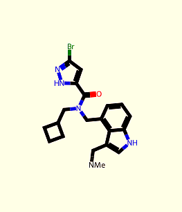 CNCc1c[nH]c2cccc(CN(CC3CCC3)C(=O)c3cc(Br)n[nH]3)c12